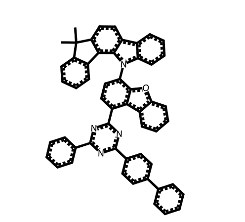 CC1(C)c2ccccc2-c2c1ccc1c3ccccc3n(-c3ccc(-c4nc(-c5ccccc5)nc(-c5ccc(-c6ccccc6)cc5)n4)c4c3oc3ccccc34)c21